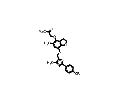 COC(=O)COc1c(C)cc(SCc2sc(-c3ccc(C(F)(F)F)cc3)nc2C)c2c1CCO2